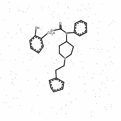 CCC(=O)N(c1ccccc1)C1CCN(CCc2ccccc2)CC1.O=C(O)c1ccccc1O